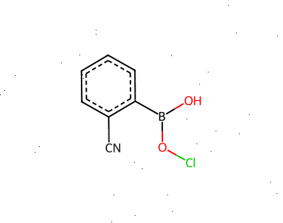 N#Cc1ccccc1B(O)OCl